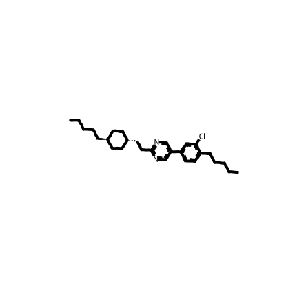 CCCCCc1ccc(-c2cnc(CC[C@H]3CC[C@H](CCCCC)CC3)nc2)cc1Cl